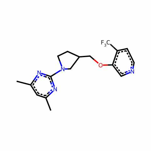 Cc1cc(C)nc(N2CCC(COc3cnccc3C(F)(F)F)C2)n1